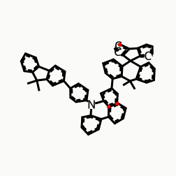 CC1(C)c2ccccc2-c2ccc(-c3ccc(N(c4cccc(-c5cccc6c5C(C)(C)c5ccccc5C65c6ccccc6-c6ccccc65)c4)c4ccccc4-c4ccccc4)cc3)cc21